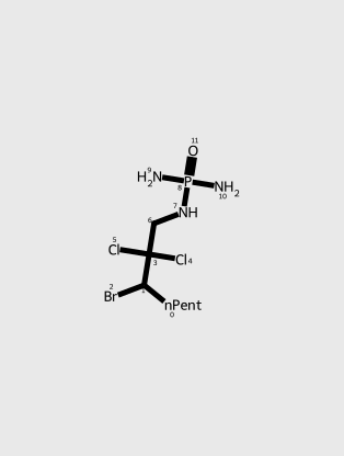 CCCCCC(Br)C(Cl)(Cl)CNP(N)(N)=O